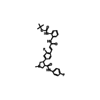 CN1CC(C(=O)Nc2ccc(F)cc2)C(c2ccc(/C=C/C(=O)Nc3ccccc3NC(=O)OC(C)(C)C)c(F)c2)C1